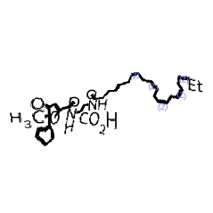 CC/C=C\C/C=C\C/C=C\C/C=C\C/C=C\CC=CCCC(=O)NCC(NC(=O)C1=CC(=O)C(C)(c2ccccc2)O1)C(=O)O